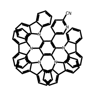 N#Cc1ccc(-c2c(-n3c4ccccc4c4ccccc43)c(-n3c4ccccc4c4ccccc43)c(-n3c4ccccc4c4ccccc43)c(-n3c4ccccc4c4ccccc43)c2-n2c3ccccc3c3ccccc32)cn1